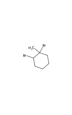 CC1(Br)CCCCC1Br